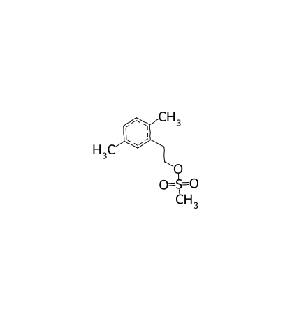 Cc1ccc(C)c(CCOS(C)(=O)=O)c1